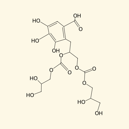 O=C(OCC(O)CO)OCC(Cc1c(C(=O)O)cc(O)c(O)c1O)OC(=O)OCC(O)CO